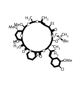 CC[C@@H]1/C=C(\C)C[C@H](C)C[C@H](OC)[C@H]2O[C@@](O)(C(=O)C(=O)N3CCCC[C@H]3C(=O)O[C@H](/C(C)=C/C3CC[C@H](Cl)[C@H](OC)C3)[C@@H](C)[C@@H](O[Si](C)(C)C(C)(C)C)CC1=O)[C@H](C)C[C@@H]2OC